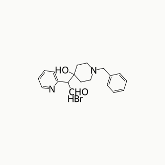 Br.O=CC(c1ccccn1)C1(O)CCN(Cc2ccccc2)CC1